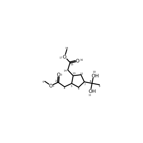 COC(=O)CC1CC(C(C)(O)O)CC1CC(=O)OC